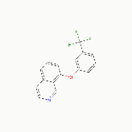 FC(F)(F)c1cccc(Oc2cccc3ccncc23)c1